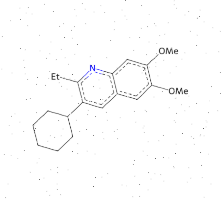 CCc1nc2cc(OC)c(OC)cc2cc1C1CCCCC1